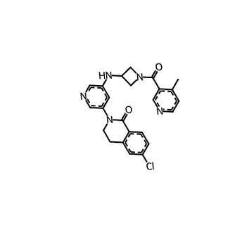 Cc1ccncc1C(=O)N1CC(Nc2cncc(N3CCc4cc(Cl)ccc4C3=O)c2)C1